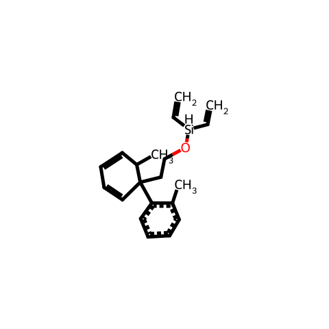 C=C[SiH](C=C)OCCC1(c2ccccc2C)C=CC=CC1C